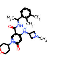 Cc1c(C(C)NC(=O)c2cn(C3CCOCC3)c(=O)cc2NC2CN(C)C2)cccc1C(F)(F)F